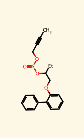 CC#CCOS(=O)OC(CC)COc1ccccc1-c1ccccc1